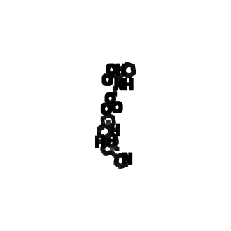 C[C@]12CC[C@H](OC(=O)OCCN[C@H](C(=O)O)c3ccccc3)CC1=CC[C@@H]1[C@@H]2CC[C@]2(C)C(c3cccnc3)=CC[C@@H]12